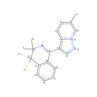 Cc1ccc2c(C3=NC(C)(C)C(F)(F)c4ccccc43)cnn2c1